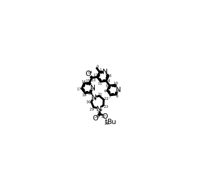 Cc1ncc(-c2cccnc2)cc1C(=O)c1cccc(N2CCCN(C(=O)OC(C)(C)C)CC2)n1